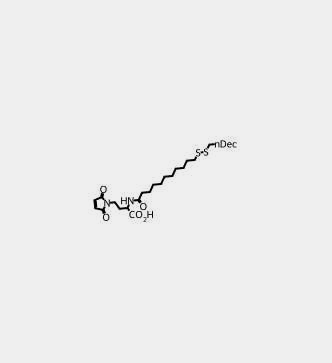 CCCCCCCCCCCSSCCCCCCCCCCC(=O)NC(CCN1C(=O)C=CC1=O)C(=O)O